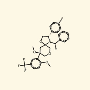 COc1ccc(C(F)(F)F)cc1[C@@]1(OC)COCC2(C1)OC[C@H](c1ccc(F)cc1)N2[C@H](C)c1ccccc1